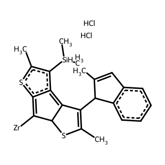 CC1=Cc2ccccc2C1C1=C(C)SC2[C]([Zr])=c3sc(C)c([SiH](C)C)c3=C12.Cl.Cl